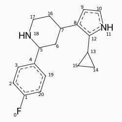 Fc1ccc(C2CC(c3cc[nH]c3C3CC3)CCN2)cc1